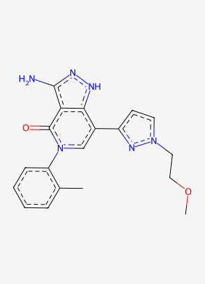 COCCn1ccc(-c2cn(-c3ccccc3C)c(=O)c3c(N)n[nH]c23)n1